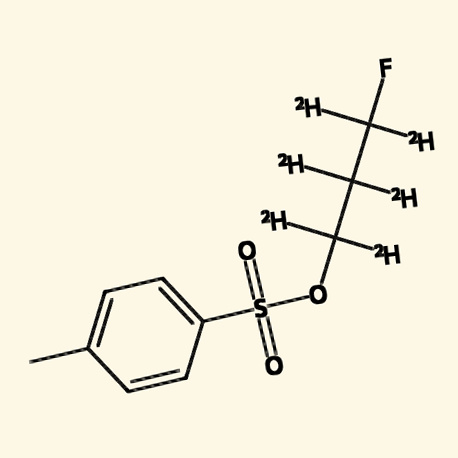 [2H]C([2H])(F)C([2H])([2H])C([2H])([2H])OS(=O)(=O)c1ccc(C)cc1